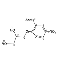 CC(=O)Nc1cc([N+](=O)[O-])ccc1OCC(O)CO